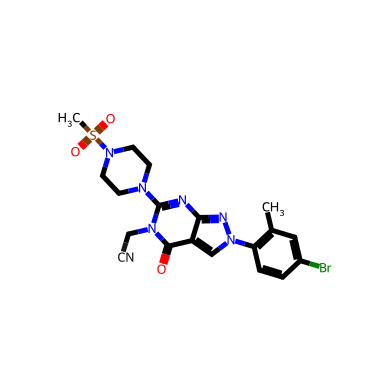 Cc1cc(Br)ccc1-n1cc2c(=O)n(CC#N)c(N3CCN(S(C)(=O)=O)CC3)nc2n1